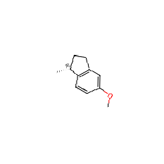 COc1ccc2c(c1)CC[C@H]2C